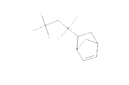 CC(F)(F)CC(F)(F)C1CC2C=CC1C2